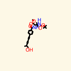 COC(=O)[C@@H](NC(=O)c1ccc(C#CC#CC(C)CO)cc1)C(C)(C)NC(=O)OC(C)(C)C